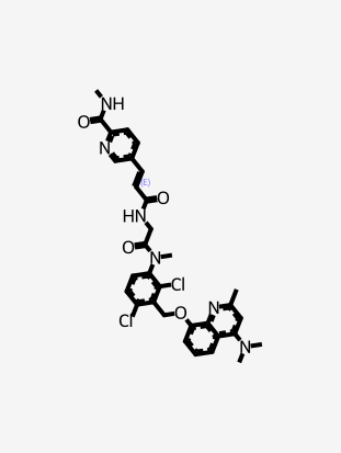 CNC(=O)c1ccc(/C=C/C(=O)NCC(=O)N(C)c2ccc(Cl)c(COc3cccc4c(N(C)C)cc(C)nc34)c2Cl)cn1